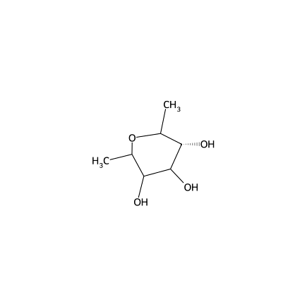 CC1OC(C)[C@H](O)C(O)C1O